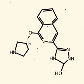 OC1NN=C(c2cc3ccccc3c(O[C@@H]3CCNC3)n2)N1